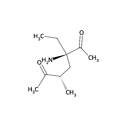 CC[C@@](N)(C[C@H](C)C(C)=O)C(C)=O